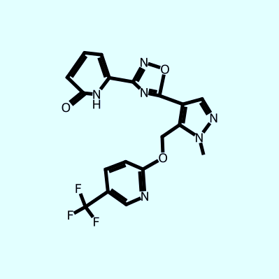 Cn1ncc(-c2nc(-c3cccc(=O)[nH]3)no2)c1COc1ccc(C(F)(F)F)cn1